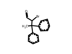 CC(c1ccccc1)(c1ccccc1)C(Br)C=O